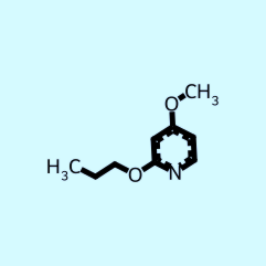 CCCOc1cc(OC)ccn1